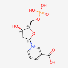 O=C(O)c1ccc[n+]([C@H]2C[C@@H](O)[C@@H](COP(=O)(O)O)O2)c1